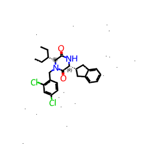 CCC(CC)[C@@H]1C(=O)N[C@H](C2Cc3ccccc3C2)C(=O)N1Cc1ccc(Cl)cc1Cl